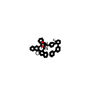 c1ccc(-c2cccc(-c3cccc4sc5cc(-c6nc(-c7ccccc7)nc(-c7c8ccccc8cc8oc9c%10ccccc%10cc(-c%10ccccc%10)c9c78)n6)ccc5c34)c2)cc1